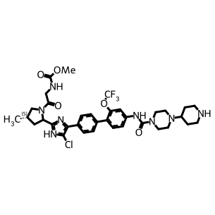 COC(=O)NCC(=O)N1C[C@@H](C)CC1c1nc(-c2ccc(-c3ccc(NC(=O)N4CCN(C5CCNCC5)CC4)cc3OC(F)(F)F)cc2)c(Cl)[nH]1